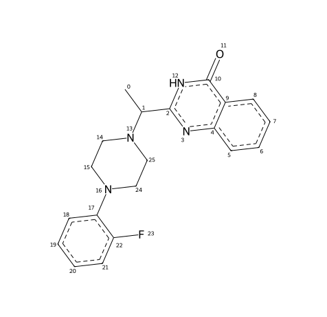 CC(c1nc2ccccc2c(=O)[nH]1)N1CCN(c2ccccc2F)CC1